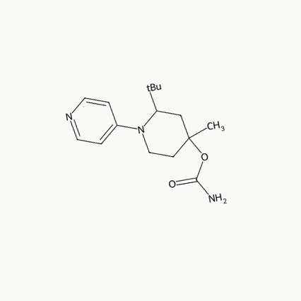 CC1(OC(N)=O)CCN(c2ccncc2)C(C(C)(C)C)C1